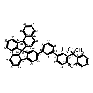 CC1(C)c2ccccc2Oc2ccc(-c3cccc(-c4ccc5c(c4)C4(c6ccccc6-5)c5ccccc5-c5c4ccc4ccccc54)c3)cc21